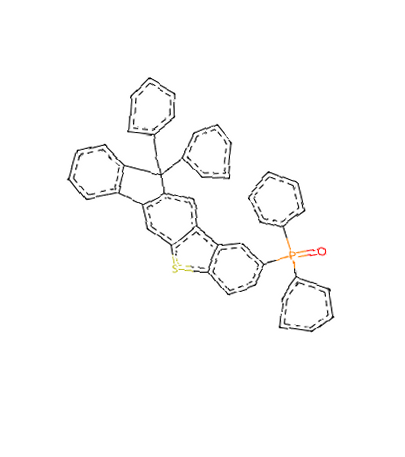 O=P(c1ccccc1)(c1ccccc1)c1ccc2sc3cc4c(cc3c2c1)C(c1ccccc1)(c1ccccc1)c1ccccc1-4